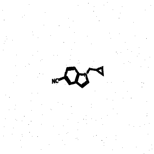 N#Cc1ccc2c(ccn2CC2CC2)c1